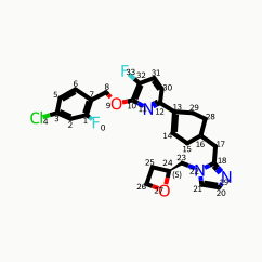 Fc1cc(Cl)ccc1COc1nc(C2=CCC(Cc3nccn3C[C@@H]3CCO3)CC2)ccc1F